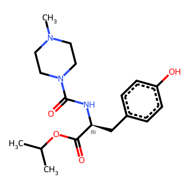 CC(C)OC(=O)[C@H](Cc1ccc(O)cc1)NC(=O)N1CCN(C)CC1